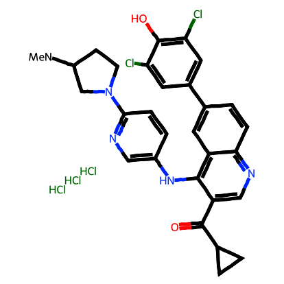 CNC1CCN(c2ccc(Nc3c(C(=O)C4CC4)cnc4ccc(-c5cc(Cl)c(O)c(Cl)c5)cc34)cn2)C1.Cl.Cl.Cl